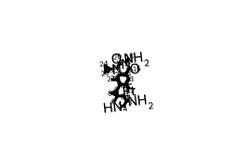 CC[C@@H]1C(N)CNCC12CC2c1c(F)cc2c(=O)n(N)c(=O)n(C3CC3)c2c1C